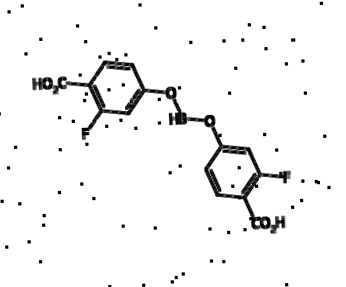 O=C(O)c1ccc(OBOc2ccc(C(=O)O)c(F)c2)cc1F